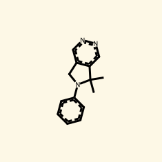 CC1(C)c2cnncc2CN1c1ccccc1